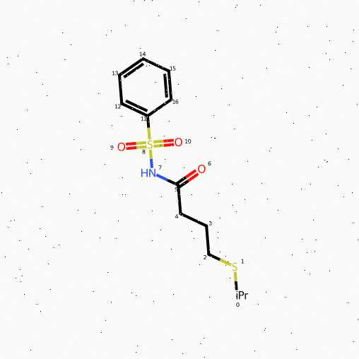 CC(C)SCCCC(=O)NS(=O)(=O)c1ccccc1